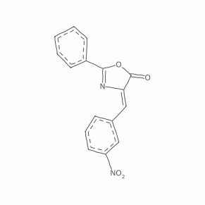 O=C1OC(c2ccccc2)=NC1=Cc1cccc([N+](=O)[O-])c1